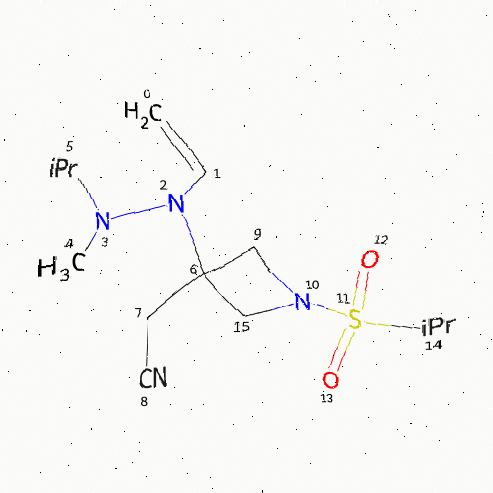 C=CN(N(C)C(C)C)C1(CC#N)CN(S(=O)(=O)C(C)C)C1